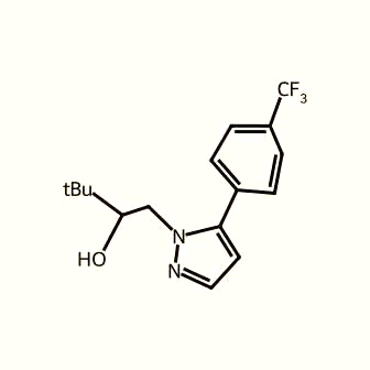 CC(C)(C)C(O)Cn1nccc1-c1ccc(C(F)(F)F)cc1